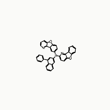 c1ccc(-c2cc(N(c3ccc4oc5cccnc5c4c3)c3ccc4oc5ccccc5c4n3)cc3ccccc23)cc1